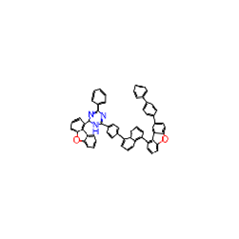 c1ccc(C2=NC(c3cccc4oc5ccccc5c34)NC(c3ccc(-c4cccc5c(-c6cccc7oc8ccc(-c9ccc(-c%10ccccc%10)cc9)cc8c67)cccc45)cc3)=N2)cc1